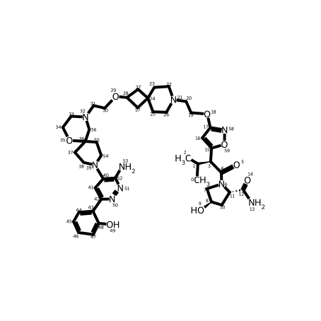 CC(C)[C@H](C(=O)N1C[C@H](O)C[C@H]1C(N)=O)c1cc(OCCN2CCC3(CC2)CC(OCCN2CCOC4(CCN(c5cc(-c6ccccc6O)nnc5N)CC4)C2)C3)no1